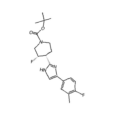 Cc1cc(-c2c[nH]c([C@H]3CCN(C(=O)OC(C)(C)C)C[C@H]3F)n2)ccc1F